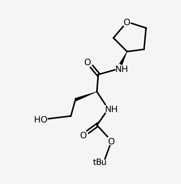 CC(C)(C)OC(=O)N[C@@H](CCO)C(=O)N[C@@H]1CCOC1